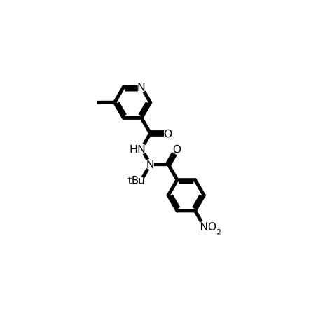 Cc1cncc(C(=O)NN(C(=O)c2ccc([N+](=O)[O-])cc2)C(C)(C)C)c1